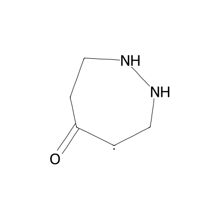 O=C1[CH]CNNCC1